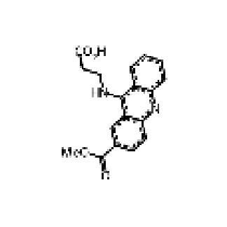 COC(=O)c1ccc2nc3ccccc3c(NCCC(=O)O)c2c1